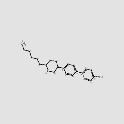 CCCCCCC1CCC(c2ccc(-c3ccc(F)cc3)cc2)CO1